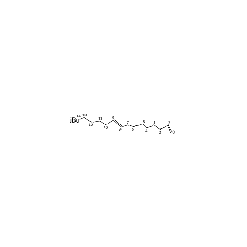 C=CCCCCCCC=CCCCCC(C)CC